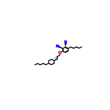 CCCCCc1ccc(OC/C=C/C2CCC(CCCCC)CC2)c(C#N)c1C#N